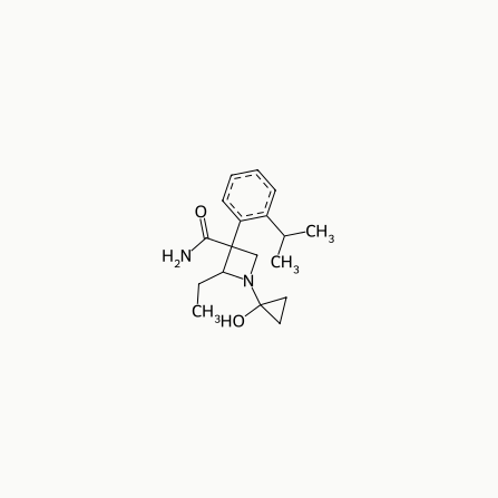 CCC1N(C2(O)CC2)CC1(C(N)=O)c1ccccc1C(C)C